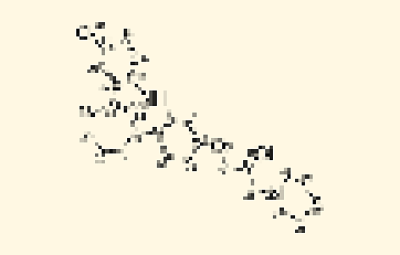 OC(COc1ccc(C2CCCCc3c2[nH]c2ccc(Cl)cc32)cc1)CN1CCSCC1